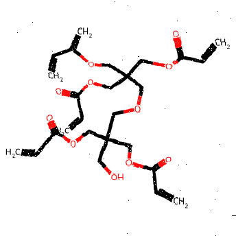 C=CC(=C)OCC(COCC(CO)(COC(=O)C=C)COC(=O)C=C)(COC(=O)C=C)COC(=O)C=C